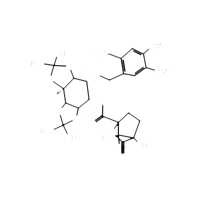 COc1cc(CO[C@@H]2[C@H](OC(=O)C34CCC(C)(C(=O)O3)C4(C)C)[C@H]3OC(C)(C)O[C@H]3[C@@H]3OC(C)(C)O[C@@H]23)c([N+](=O)[O-])cc1OC